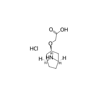 Cl.O=C(O)CO[C@H]1C[C@H]2CC[C@@H](C1)N2